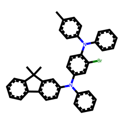 Cc1ccc(N(c2ccccc2)c2ccc(N(c3ccccc3)c3ccc4c(c3)C(C)(C)c3ccccc3-4)cc2Br)cc1